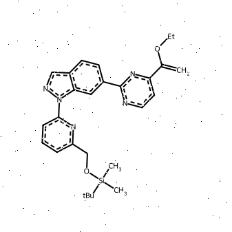 C=C(OCC)c1ccnc(-c2ccc3cnn(-c4cccc(CO[Si](C)(C)C(C)(C)C)n4)c3c2)n1